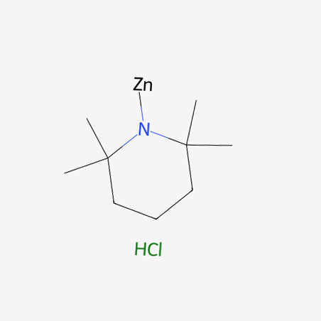 CC1(C)CCCC(C)(C)[N]1[Zn].Cl